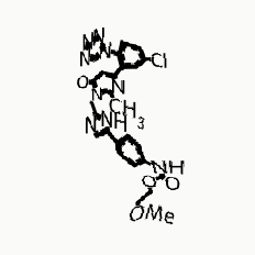 COCCOC(=O)Nc1ccc(-c2cnc(Cn3c(C)nc(-c4cc(Cl)ccc4-n4cnnn4)cc3=O)[nH]2)cc1